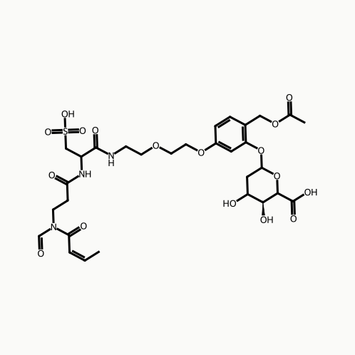 C/C=C\C(=O)N(C=O)CCC(=O)NC(CS(=O)(=O)O)C(=O)NCCOCCOc1ccc(COC(C)=O)c(OC2CC(O)[C@H](O)C(C(=O)O)O2)c1